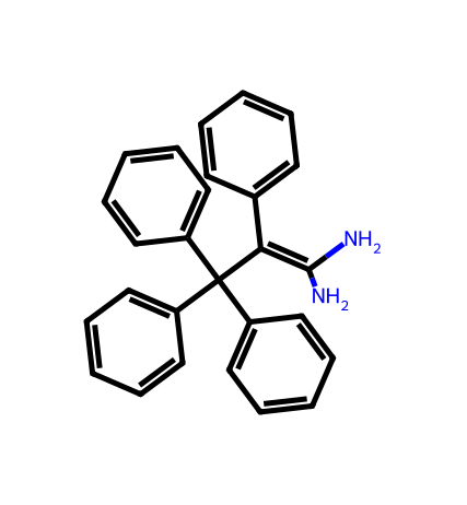 NC(N)=C(c1ccccc1)C(c1ccccc1)(c1ccccc1)c1ccccc1